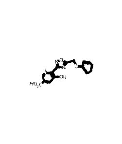 O=C(O)c1cnc(-c2noc(CSc3ccccc3)n2)c(O)c1